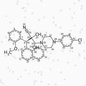 COc1ccccc1[C@H](c1cccc2ccccc12)C(C)(C#N)C(O)N1CCN(c2ccc(Cl)cc2)CC1